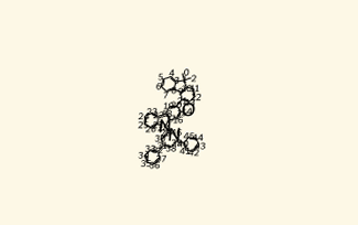 CC1(C)c2ccccc2-c2c1ccc1oc3cc4c(cc3c21)c1ccccc1n4-c1cc(-c2ccccc2)cc(-c2ccccc2)n1